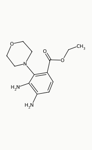 CCOC(=O)c1ccc(N)c(N)c1N1CCOCC1